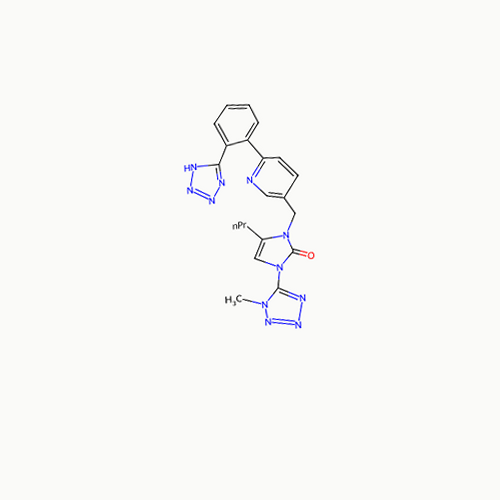 CCCc1cn(-c2nnnn2C)c(=O)n1Cc1ccc(-c2ccccc2-c2nnn[nH]2)nc1